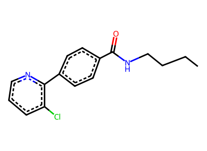 CCCCNC(=O)c1ccc(-c2ncccc2Cl)cc1